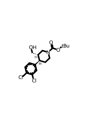 CC(C)(C)OC(=O)N1CC[C@@H](c2ccc(Cl)c(Cl)c2)[C@H](CO)C1